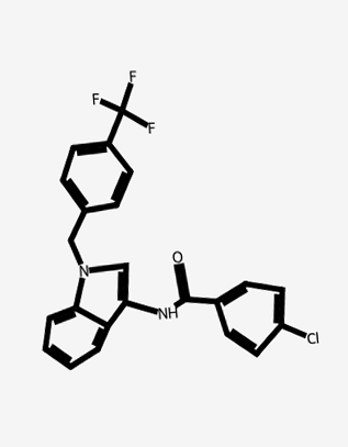 O=C(Nc1cn(Cc2ccc(C(F)(F)F)cc2)c2ccccc12)c1ccc(Cl)cc1